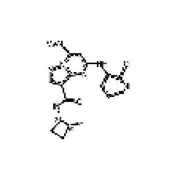 CNc1cc(Nc2ccc[nH]c2=O)nc2c(C(=O)N[C@H]3CC[C@@H]3F)cnn12